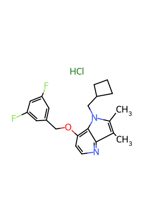 Cc1c(C)n(CC2CCC2)c2c(OCc3cc(F)cc(F)c3)ccnc12.Cl